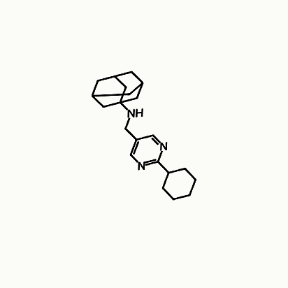 c1nc(C2CCCCC2)ncc1CNC12CC3CC(CC(C3)C1)C2